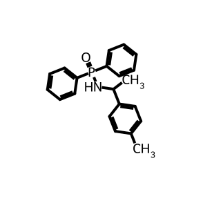 Cc1ccc(C(C)NP(=O)(c2ccccc2)c2ccccc2)cc1